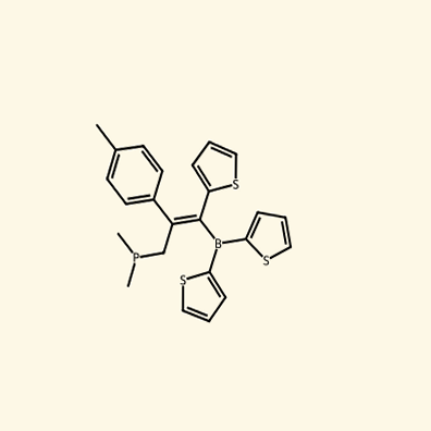 Cc1ccc(/C(CP(C)C)=C(/B(c2cccs2)c2cccs2)c2cccs2)cc1